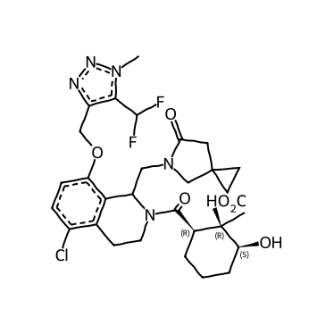 Cn1nnc(COc2ccc(Cl)c3c2C(CN2CC4(CC4)CC2=O)N(C(=O)[C@@H]2CCC[C@H](O)[C@]2(C)C(=O)O)CC3)c1C(F)F